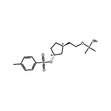 Cc1ccc(S(=O)(=O)O[C@@H]2CC[C@@H](CCO[Si](C)(C)C(C)(C)C)C2)cc1